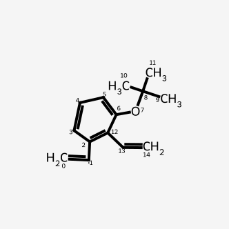 C=[C]c1cccc(OC(C)(C)C)c1C=C